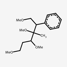 COCCC(OC)C(C)(OC)C(COC)c1ccccc1